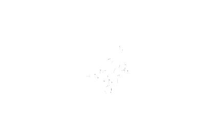 CCN(CC)CCOc1ccc(-c2nc(N)nc(Nc3ccccc3OC)c2-c2ccc3ncccc3c2)cc1